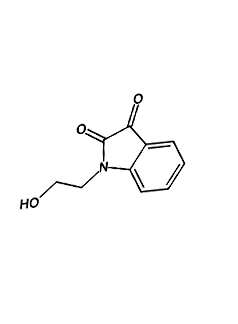 O=C1C(=O)N(CCO)c2ccccc21